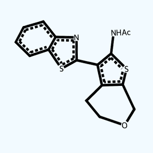 CC(=O)Nc1sc2c(c1-c1nc3ccccc3s1)CCOC2